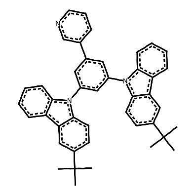 CC(C)(C)c1ccc2c(c1)c1ccccc1n2-c1cc(-c2cccnc2)cc(-n2c3ccccc3c3cc(C(C)(C)C)ccc32)c1